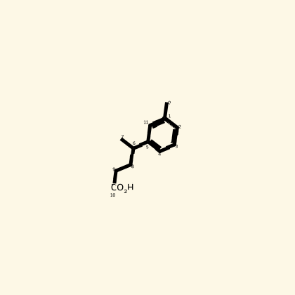 Cc1cccc(C(C)CCC(=O)O)c1